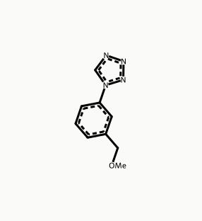 COCc1cccc(-n2cnnn2)c1